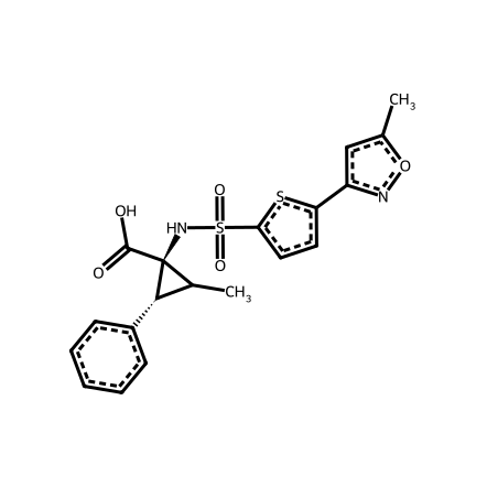 Cc1cc(-c2ccc(S(=O)(=O)N[C@@]3(C(=O)O)C(C)[C@@H]3c3ccccc3)s2)no1